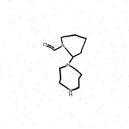 O=[C]N1CCCCC1N1CCNCC1